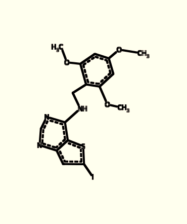 COc1cc(OC)c(CNc2ncnc3cc(I)sc23)c(OC)c1